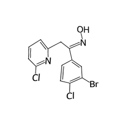 O/N=C(\Cc1cccc(Cl)n1)c1ccc(Cl)c(Br)c1